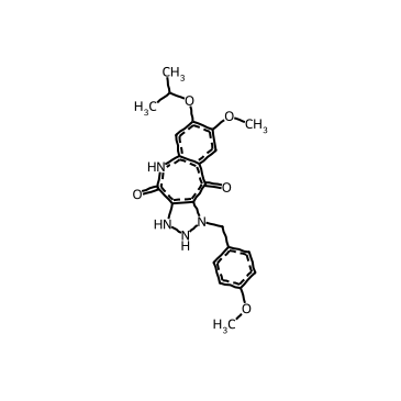 COc1ccc(CN2NNc3c2c(=O)c2cc(OC)c(OC(C)C)cc2[nH]c3=O)cc1